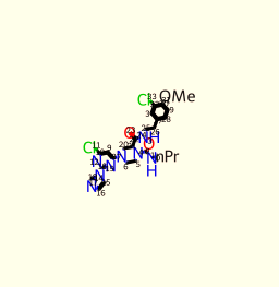 CCCNC(=O)N1CCN(c2cc(Cl)nc(-n3ccnc3)n2)CC1C(=O)NCCc1ccc(OC)c(Cl)c1